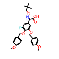 COc1ccc(COc2cc(/C(=N/OCC(C)(C)C)C(=O)O)cc(F)c2OCc2ccc(OC)cc2)cc1